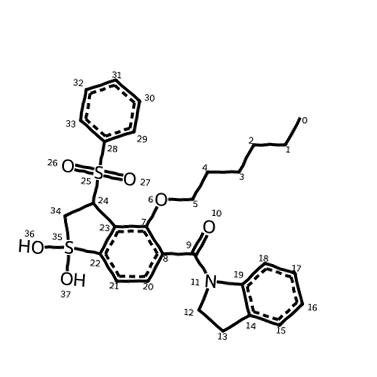 CCCCCCOc1c(C(=O)N2CCc3ccccc32)ccc2c1C(S(=O)(=O)c1ccccc1)CS2(O)O